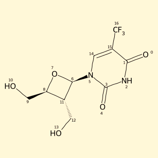 O=c1[nH]c(=O)n([C@@H]2O[C@H](CO)[C@H]2CO)cc1C(F)(F)F